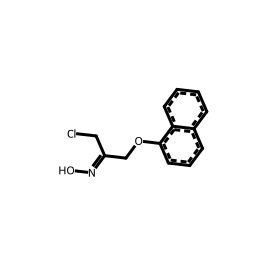 O/N=C(\CCl)COc1cccc2ccccc12